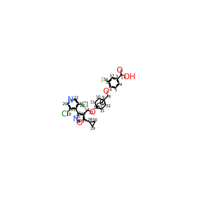 O=C(O)c1ccc(OCC23CCC(OCc4c(-c5c(Cl)cncc5Cl)noc4C4CC4)(CC2)CC3)c(F)c1